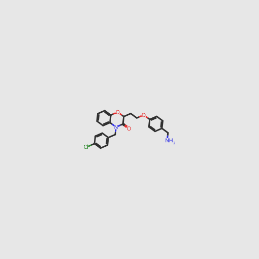 NCc1ccc(OCCC2Oc3ccccc3N(Cc3ccc(Cl)cc3)C2=O)cc1